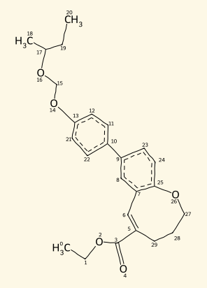 CCOC(=O)C1=Cc2cc(-c3ccc(OCOC(C)CC)cc3)ccc2OCCC1